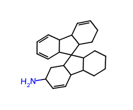 NC1C=CC2C3CCCCC3C3(C4C=CC=CC4C4C=CCCC43)C2C1